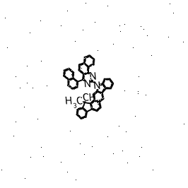 CC1(C)c2ccccc2-c2ccc3cc4c5ccccc5n(-c5nc(-c6cccc7ccccc67)c6ccc7ccccc7c6n5)c4cc3c21